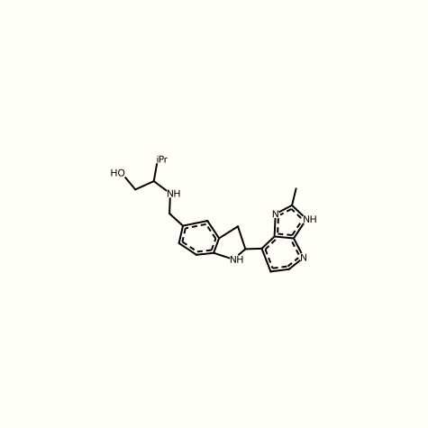 Cc1nc2c(C3Cc4cc(CNC(CO)C(C)C)ccc4N3)ccnc2[nH]1